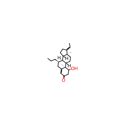 C/C=C1\CC[C@H]2[C@@H]3[C@H](CCC)CC4=CC(=O)CC(O)[C@]4(C)[C@H]3CC[C@]12C